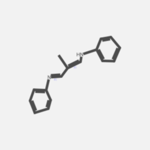 CC(/C=N/c1ccccc1)=C\Nc1ccccc1